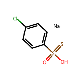 O=S(O)(=S)c1ccc(Cl)cc1.[Na]